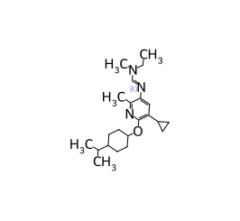 CCN(C)/C=N/c1cc(C2CC2)c(OC2CCC(C(C)C)CC2)nc1C